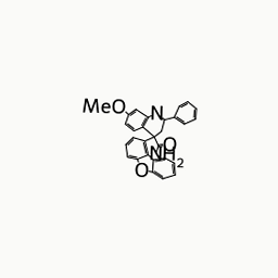 COc1ccc2c(c1)N=C(c1ccccc1)CC2(C(N)=O)c1cccc2oc3ccccc3c12